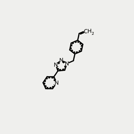 C=Cc1ccc(Cn2cc(-c3ccccn3)nn2)cc1